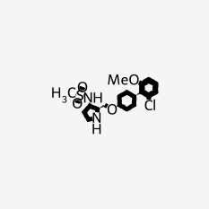 COc1cccc(Cl)c1[C@H]1CC[C@@H](OC[C@@H]2NCC[C@@H]2NS(C)(=O)=O)CC1